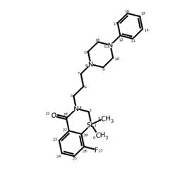 C[Si]1(C)CN(CCCN2CCN(c3ccccc3)CC2)C(=O)c2cccc(F)c21